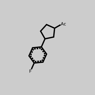 CC(=O)C1CCC(c2ccc(F)cc2)C1